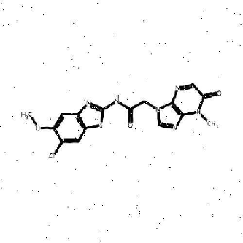 COc1cc2nc(NC(=O)Cn3cnc4c3ncc(=O)n4C)sc2cc1Cl